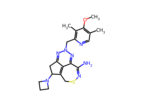 COc1c(C)cnc(CN2N=C3CC(N4CCC4)C4=C3C(=N2)C(N)=NSC4)c1C